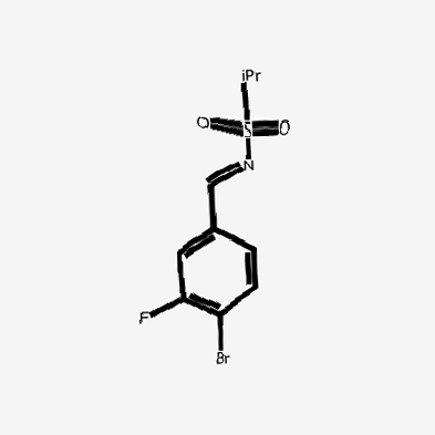 CC(C)S(=O)(=O)N=Cc1ccc(Br)c(F)c1